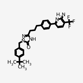 CC(C)(C)c1ccc(Cn2nc(CCCc3ccc(-c4ccc(C(F)(F)F)c(N)n4)cc3)[nH]c2=O)cc1